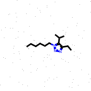 CCCCCCn1nnc(CC)c1C(C)C